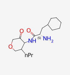 CCCC1COCC(=O)C1NC(=O)[C@@H](N)CC1CCCCC1